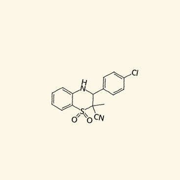 CC1(C#N)C(c2ccc(Cl)cc2)Nc2ccccc2S1(=O)=O